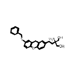 NC(CO)(CO)CCc1ccc2c(c1)Cc1cc(SCc3ccccc3)ccc1O2